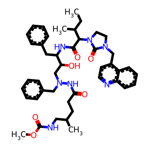 CCC(C)C(C(=O)NC(Cc1ccccc1)C(O)CN(Cc1ccccc1)NC(=O)CCC(C)CNC(=O)OC)N1CCN(Cc2ccnc3ccccc23)C1=O